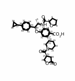 C[C@H](NC(=O)[C@H]1CCCO1)[C@H](Oc1ccc(C(=O)O)c([C@@H]2CCCN(C(=O)[C@@H]3COC(=O)C3)C2)c1)c1ccc(C2CC2)cc1